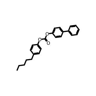 CCCCCc1ccc(OC(=O)Oc2ccc(-c3ccccc3)cc2)cc1